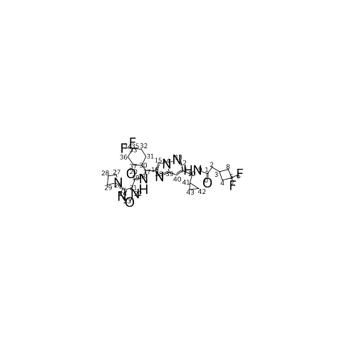 O=C(CC1CC(F)(F)C1)N[C@@H](c1cnn2cc([C@@H](NC(=O)c3nonc3N3CCC3)C3CCC(F)(F)CC3)nc2c1)C1CC1